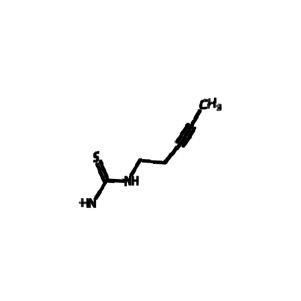 CC#CCCNC([NH])=S